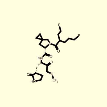 O=C1NCC[C@H]1C[C@H](NC(=O)[C@@H]1CC2(CC2)CN1C(=O)C(CCF)CCCF)C(=O)COC(F)(F)F